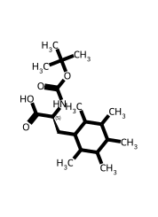 CC1C(C)C(C)C(C[C@H](NC(=O)OC(C)(C)C)C(=O)O)C(C)C1C